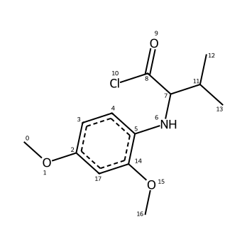 COc1ccc(NC(C(=O)Cl)C(C)C)c(OC)c1